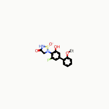 CCOc1ccccc1-c1cc(O)c(N2CC(=O)N[S+]2[O-])c(F)c1